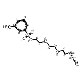 Cc1cccc(S(=O)(=O)OCCOCCOCCN=[N+]=[N-])c1